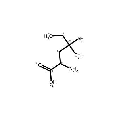 CCC(C)(S)CC(N)C(=O)O